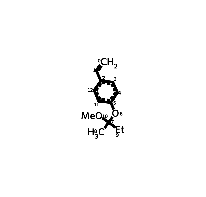 C=Cc1ccc(OC(C)(CC)OC)cc1